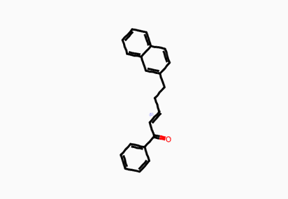 O=C(/C=C/CCc1ccc2ccccc2c1)c1ccccc1